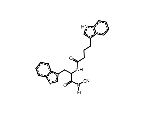 CCN(C#N)C(=O)C(Cc1csc2ccccc12)NC(=O)CCCc1c[nH]c2ccccc12